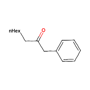 CCCCCCCC(=O)Cc1ccccc1